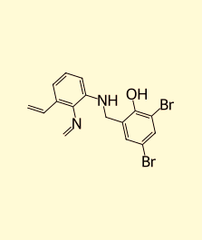 C=Cc1cccc(NCc2cc(Br)cc(Br)c2O)c1N=C